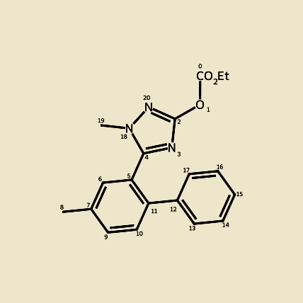 CCOC(=O)Oc1nc(-c2cc(C)ccc2-c2ccccc2)n(C)n1